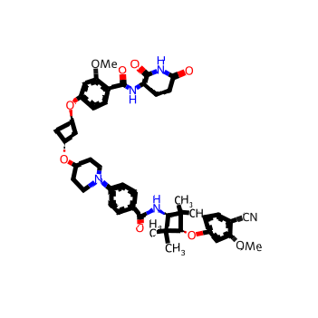 COc1cc(O[C@H]2C(C)(C)[C@H](NC(=O)c3ccc(N4CCC(O[C@H]5C[C@H](Oc6ccc(C(=O)NC7CCC(=O)NC7=O)c(OC)c6)C5)CC4)cc3)C2(C)C)ccc1C#N